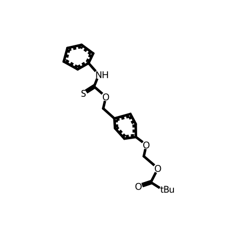 CC(C)(C)C(=O)OCOc1ccc(COC(=S)Nc2ccccc2)cc1